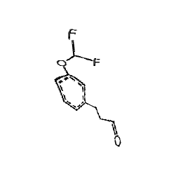 O=CCCc1cccc(OC(F)F)c1